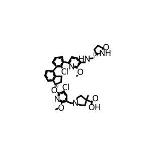 COc1nc(-c2cccc(-c3cccc4c3CC[C@@H]4Oc3nc(OC)c(CN4CCC(C)(C(=O)O)CC4)cc3Cl)c2Cl)ccc1CNC[C@@H]1CCC(=O)N1